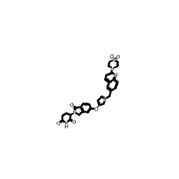 O=C1CCC(N2Cc3cc(O[C@H]4CCN(Cc5ccc6nc(N7CCS(=O)(=O)CC7)ccc6c5)C4)ccc3C2=O)C(=O)N1